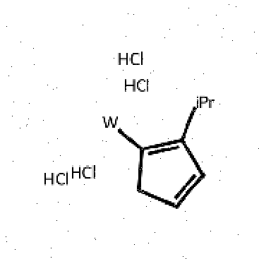 CC(C)C1=[C]([W])CC=C1.Cl.Cl.Cl.Cl